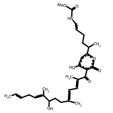 C/C=C/C/C=C(\C)C(O)CC/C(C)=C/C=C(\C)C(=O)c1c(O)cc(C(C)CC/C=C/NC(=O)OC)oc1=O